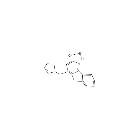 C1=CC(Cc2cccc3c2Cc2ccccc2-3)C=C1.[Cl][Hf][Cl]